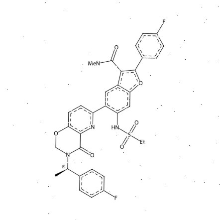 CCS(=O)(=O)Nc1cc2oc(-c3ccc(F)cc3)c(C(=O)NC)c2cc1-c1ccc2c(n1)C(=O)N([C@H](C)c1ccc(F)cc1)CO2